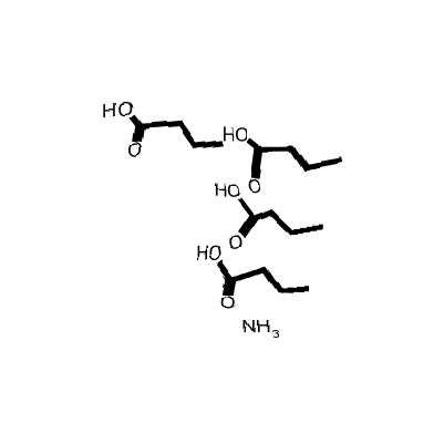 CCCC(=O)O.CCCC(=O)O.CCCC(=O)O.CCCC(=O)O.N